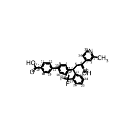 Cc1cc(C(CC(c2ccc(-c3ccc(C(=O)O)cc3)cc2)c2ccccc2C(F)(F)F)=NO)ccn1